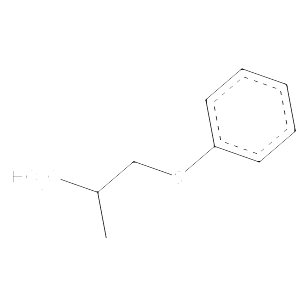 CC(CSc1ccccc1)C(=O)O